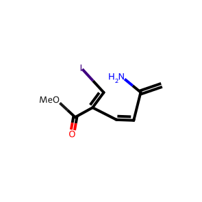 C=C(N)/C=C\C(=CI)C(=O)OC